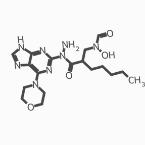 CCCCCC(CN(O)C=O)C(=O)N(N)c1nc(N2CCOCC2)c2nc[nH]c2n1